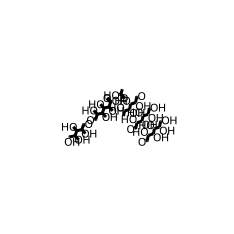 CC(=O)O.CC(O)C(O)C(O)C(O)C=O.O=CC(O)C(O)C(O)C(O)C(=O)O.O=CC(O)C(O)C(O)C(O)CO.O=CC(O)C(O)C(O)C(O)CO.O=CC(O)C(O)C(O)CO